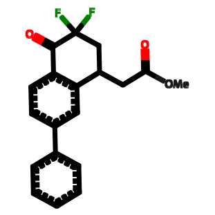 COC(=O)CC1CC(F)(F)C(=O)c2ccc(-c3ccccc3)cc21